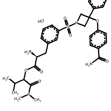 CC(C)C(OC(=O)[C@@H](N)Cc1cccc(S(=O)(=O)N2CC(Oc3ccc(C(N)=O)cc3)(c3ccccc3)C2)c1)C(=O)N(C)C.Cl